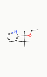 CCOC(C)(c1ccccn1)C(C)(C)C